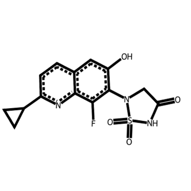 O=C1CN(c2c(O)cc3ccc(C4CC4)nc3c2F)S(=O)(=O)N1